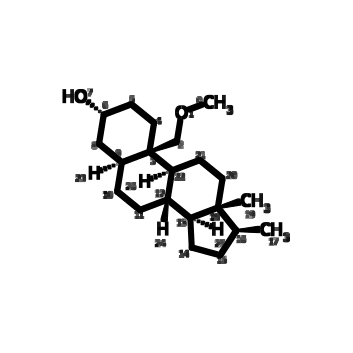 COC[C@]12CC[C@@H](O)C[C@@H]1CC[C@H]1[C@@H]3CC[C@H](C)[C@@]3(C)CC[C@@H]12